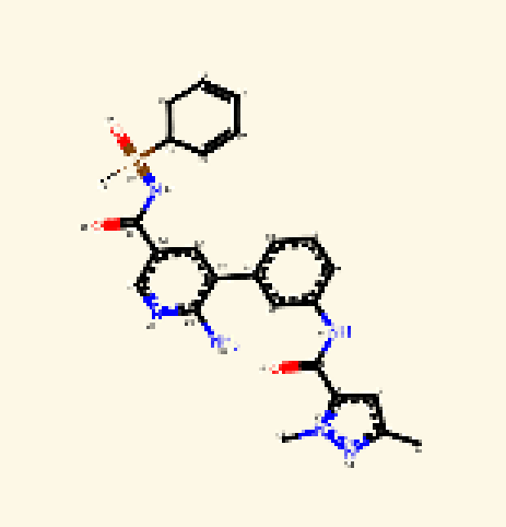 Cc1cc(C(=O)Nc2cccc(-c3cc(C(=O)N=[S@@](C)(=O)C4C=CC=CC4)cnc3N)c2)n(C)n1